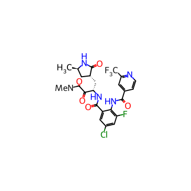 CNC(=O)C(=O)[C@H](C[C@@H]1C[C@@H](C)NC1=O)NC(=O)c1cc(Cl)cc(F)c1NC(=O)c1ccnc(C(F)(F)F)c1